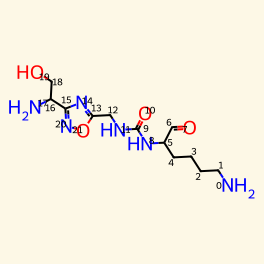 NCCCCC(C=O)NC(=O)NCc1nc(C(N)CO)no1